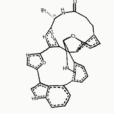 CC(C)[C@@H]1NC(=O)CCc2ccc3c(c2)C24c5cccc(c5NC2O3)-c2cccc3[nH]cc(c23)-c2cnc(o2)-c2nc1oc24